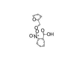 O=C(O)c1ccccc1[N+](=O)[O-].O=Cc1ccco1